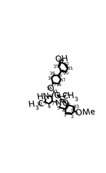 COc1ccc(CN([C@H]2C[C@@H](C)N[C@H]2COC2CCC(c3cccc(O)c3)CC2)S(C)(=O)=O)cc1